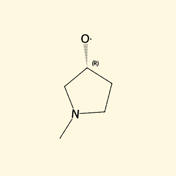 CN1CC[C@@H]([O])C1